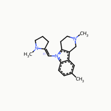 Cc1ccc2c(c1)c1c(n2/C=C2\CCCN2C)CCN(C)C1